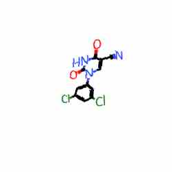 N#Cc1cn(-c2cc(Cl)cc(Cl)c2)c(=O)[nH]c1=O